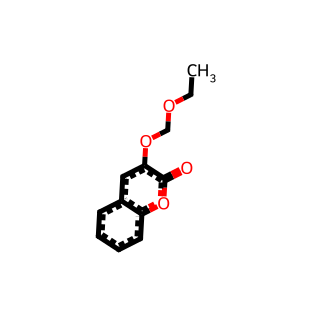 CCOCOc1cc2ccccc2oc1=O